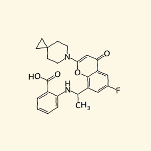 CC(Nc1ccccc1C(=O)O)c1cc(F)cc2c(=O)cc(N3CCC4(CC3)CC4)oc12